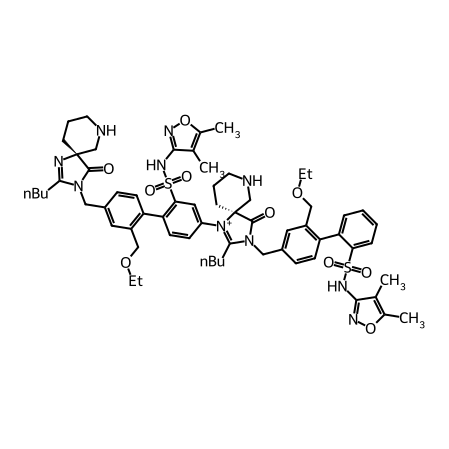 CCCCC1=N[C@@]2(CCCNC2)C(=O)N1Cc1ccc(-c2ccc([N+]3=C(CCCC)N(Cc4ccc(-c5ccccc5S(=O)(=O)Nc5noc(C)c5C)c(COCC)c4)C(=O)[C@@]34CCCNC4)cc2S(=O)(=O)Nc2noc(C)c2C)c(COCC)c1